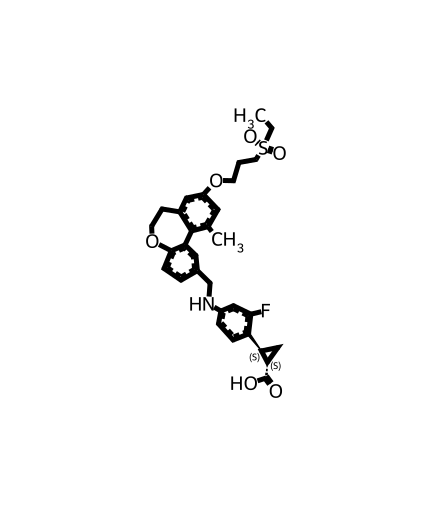 CCS(=O)(=O)CCCOc1cc(C)c2c(c1)CCOc1ccc(CNc3ccc([C@H]4C[C@@H]4C(=O)O)c(F)c3)cc1-2